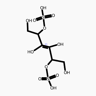 O=S(=O)(O)OC(CO)/C(O)=C(\O)C(CO)OS(=O)(=O)O